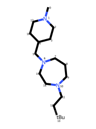 CN1CCC(CN2CCCN(CCC(C)(C)C)CC2)CC1